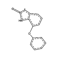 O=c1[nH]c2c(Oc3ccccc3)cccc2s1